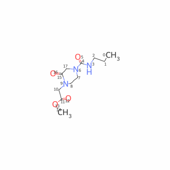 CCCNC(=O)N1CCN(CC(=O)OC)C(=O)C1